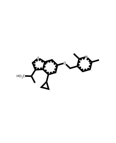 Cc1ccc(COc2cc(C3CC3)c3c(C(C)C(=O)O)csc3c2)c(C)n1